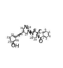 O=C(c1ccccc1C(F)(F)F)N1CCN(N2C=NC=C(C#Cc3cccc(O)c3)C2)CC1